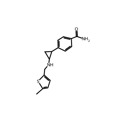 Cc1ccc(CNC2CC2c2ccc(C(N)=O)cc2)s1